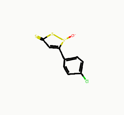 [O-][s+]1sc(=S)cc1-c1ccc(Cl)cc1